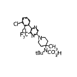 CC(C)(C)N(C(=O)O)C1(C)CCN(c2cnc(-c3cccc(Cl)c3Cl)c(C(F)(F)F)n2)CC1